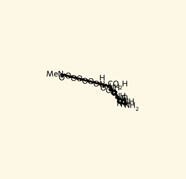 CNC(=O)CCOCCOCCOCCOCCOCCOCCNC(=O)CC[C@H](NC(=O)c1ccc(NCc2cnc3nc(N)[nH]c(=O)c3n2)cc1)C(=O)O